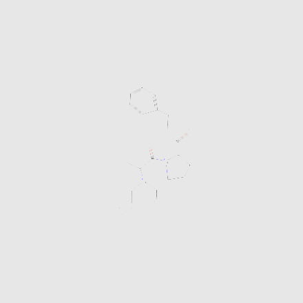 CCOC(=O)CN(CC(=O)OCC)C(C)C(=O)N1CCC[C@H]1C(=O)OCc1ccccc1